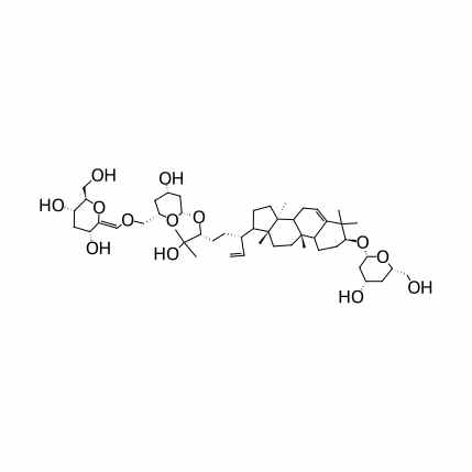 C=C[C@H](CC[C@@H](O[C@H]1C[C@@H](O)C[C@@H](CO/C=C2\O[C@H](CO)[C@@H](O)C[C@H]2O)O1)C(C)(C)O)C1CC[C@@]2(C)C3CC=C4C(CC[C@H](O[C@H]5C[C@@H](O)C[C@@H](CO)O5)C4(C)C)[C@]3(C)CC[C@]12C